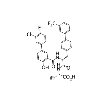 CC(C)[C@H](NC(=O)[C@H](Cc1ccc(-c2cccc(C(F)(F)F)c2)cc1)NC(=O)c1cc(-c2ccc(F)c(Cl)c2)ccc1O)C(=O)O